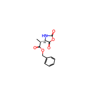 CC(C(=O)OCc1ccccc1)[C@@H]1NC(=O)OC1=O